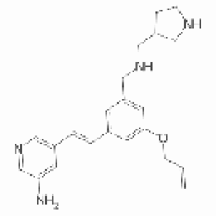 C=CCOc1cc(/C=C/c2cncc(N)c2)cc(CNCC2CCNC2)c1